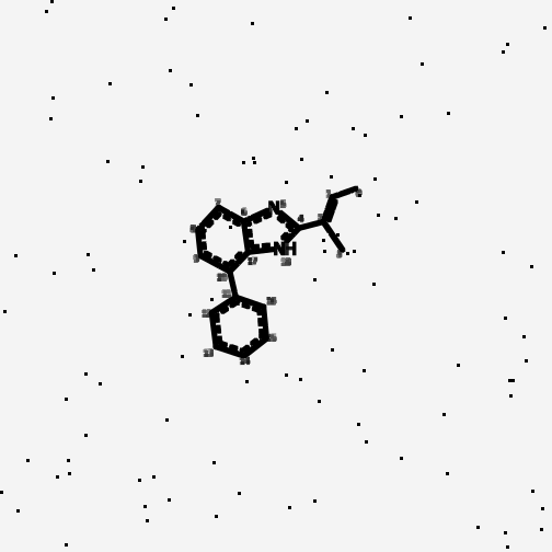 CC=C(C)c1nc2cccc(-c3ccccc3)c2[nH]1